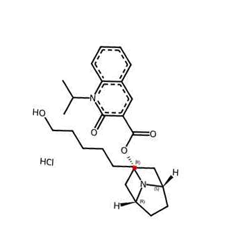 CC(C)n1c(=O)c(C(=O)O[C@H]2C[C@H]3CC[C@@H](C2)N3CCCCCCO)cc2ccccc21.Cl